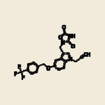 C#CCn1cc(Cn2oc(=O)[nH]c2=O)c2cc(OCc3ccc(C(F)(F)F)cc3)ccc21